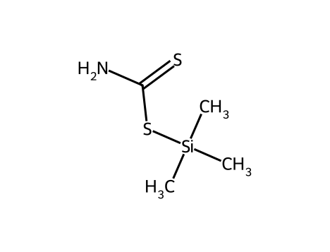 C[Si](C)(C)SC(N)=S